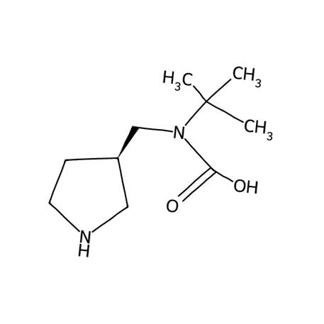 CC(C)(C)N(C[C@@H]1CCNC1)C(=O)O